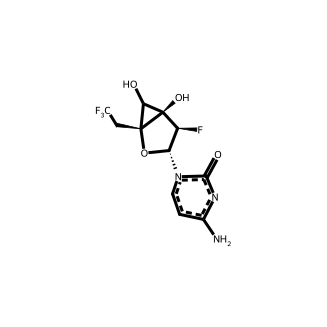 Nc1ccn([C@@H]2O[C@]3(CC(F)(F)F)C(O)[C@]3(O)[C@H]2F)c(=O)n1